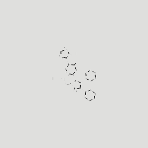 CC(C)[C@@H]1Cn2nc(-c3ccccc3)c(-c3ccccc3)c2-c2cc(=O)c(-c3ncn[nH]3)cn21